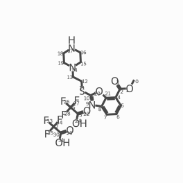 COC(=O)c1cccc2nc(SCCN3CCNCC3)oc12.O=C(O)C(F)(F)F.O=C(O)C(F)(F)F